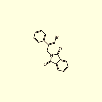 O=C1c2ccccc2C(=O)N1CC(=CBr)c1ccccc1